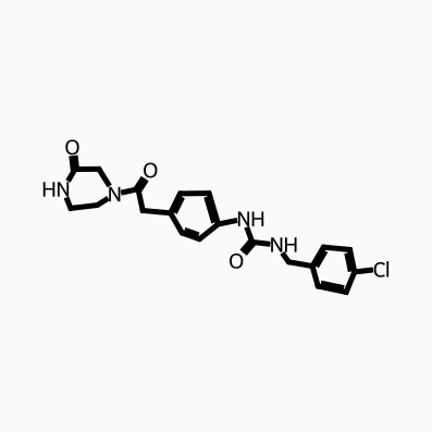 O=C1CN(C(=O)Cc2ccc(NC(=O)NCc3ccc(Cl)cc3)cc2)CCN1